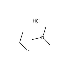 CN(C)C.Cl.[CH2]CC